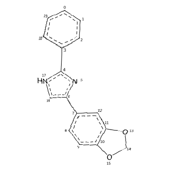 c1ccc(-c2nc(-c3ccc4c(c3)OCO4)c[nH]2)cc1